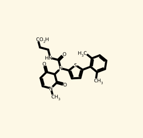 Cc1cccc(C)c1-c1ccc(N(C(=O)NCCC(=O)O)C2C(=O)C=CN(C)C2=O)s1